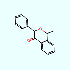 CC1OC(c2ccccc2)C(=O)c2ccccc21